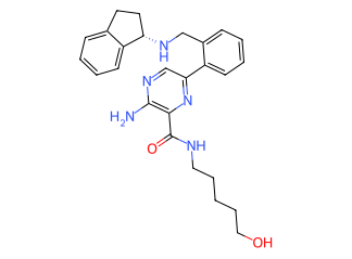 Nc1ncc(-c2ccccc2CN[C@H]2CCc3ccccc32)nc1C(=O)NCCCCCO